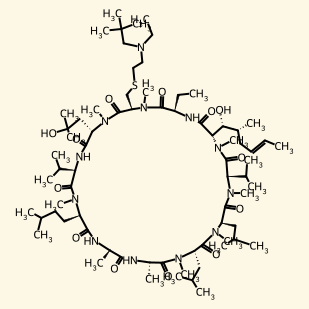 C/C=C/C[C@@H](C)[C@@H](O)[C@H]1C(=O)N[C@H](CC)C(=O)N(C)[C@H](CSCCN(CC)CC(C)(C)C)C(=O)N(C)[C@@H](CC(C)(C)O)C(=O)N[C@H](C(C)C)C(=O)N(C)[C@H](CCC(C)C)C(=O)N[C@H](C)C(=O)N[C@@H](C)C(=O)N(C)[C@@H](CC(C)C)C(=O)N(C)[C@H](CC(C)C)C(=O)N(C)[C@H](C(C)C)C(=O)N1C